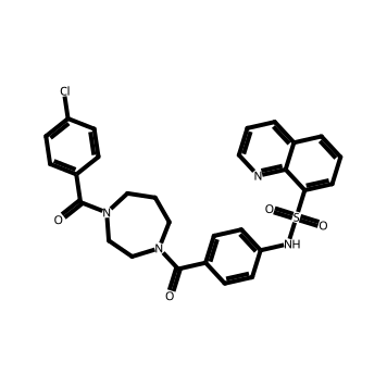 O=C(c1ccc(Cl)cc1)N1CCCN(C(=O)c2ccc(NS(=O)(=O)c3cccc4cccnc34)cc2)CC1